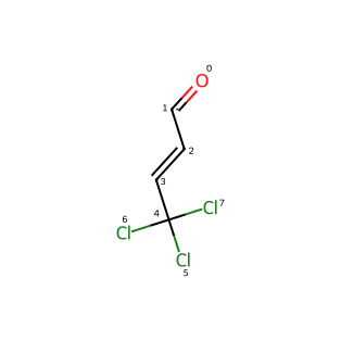 O=[C]/C=C/C(Cl)(Cl)Cl